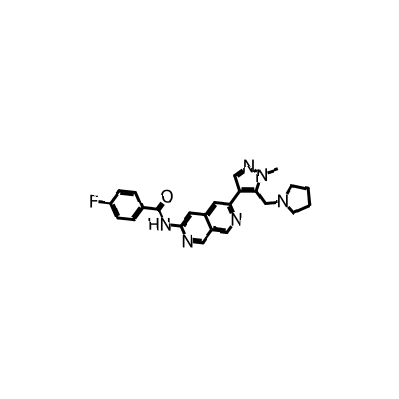 Cn1ncc(-c2cc3cc(NC(=O)c4ccc(F)cc4)ncc3cn2)c1CN1CCCC1